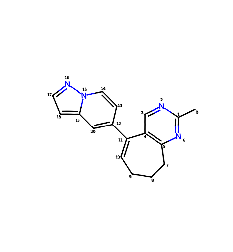 Cc1ncc2c(n1)CCCC=C2c1ccn2nccc2c1